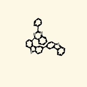 c1ccc(-c2nc(-c3cccc4sc5ccc(-c6ccc7sc8ccccc8c7c6)cc5c34)c3ccccc3n2)cc1